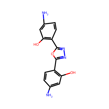 Nc1ccc(-c2nnc(-c3ccc(N)cc3O)o2)c(O)c1